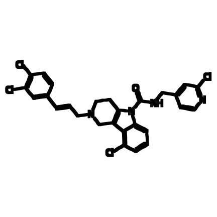 O=C(NCc1ccnc(Cl)c1)n1c2c(c3c(Cl)cccc31)CN(C/C=C/c1ccc(Cl)c(Cl)c1)CC2